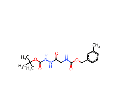 Cc1cccc(COC(=O)NCC(=O)NNC(=O)OC(C)(C)C)c1